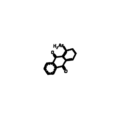 O=C1C2=CCCC([AsH2])=C2C(=O)c2ccccc21